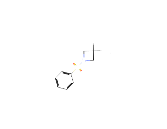 CC1(C)CN(S(=O)(=O)c2ccccc2)C1